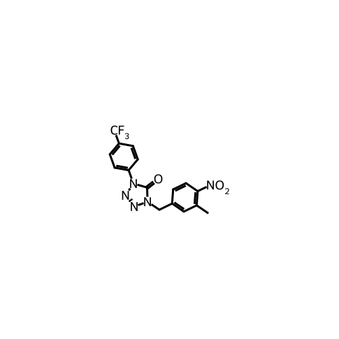 Cc1cc(Cn2nnn(-c3ccc(C(F)(F)F)cc3)c2=O)ccc1[N+](=O)[O-]